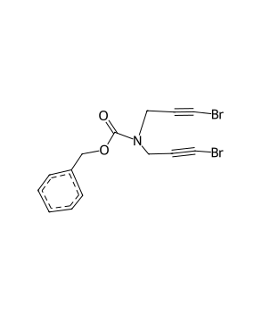 O=C(OCc1ccccc1)N(CC#CBr)CC#CBr